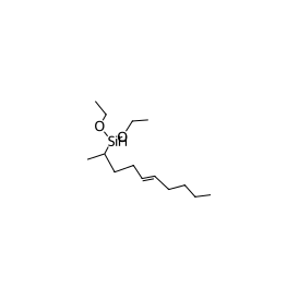 CCCCC=CCCC(C)[SiH](OCC)OCC